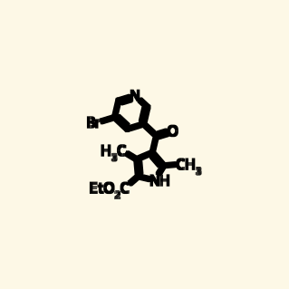 CCOC(=O)c1[nH]c(C)c(C(=O)c2cncc(Br)c2)c1C